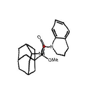 COC(=O)C12CC3CC(C1)C(NC(=O)N1CCCc4ccccc41)C(C3)C2